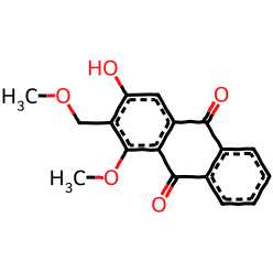 COCc1c(O)cc2c(c1OC)C(=O)c1ccccc1C2=O